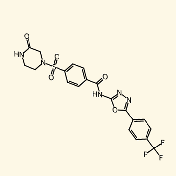 O=C1CN(S(=O)(=O)c2ccc(C(=O)Nc3nnc(-c4ccc(C(F)(F)F)cc4)o3)cc2)CCN1